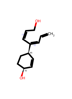 C=C/C=C(\C=C/CO)[C@H]1C=C[C@@H](O)CC1